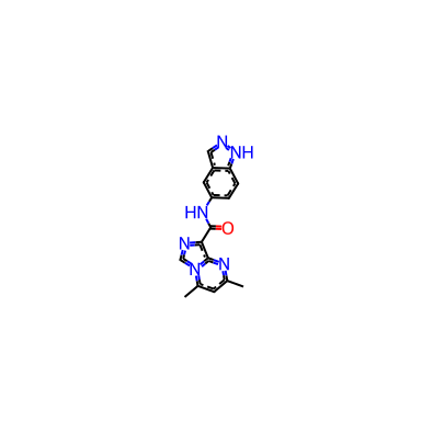 Cc1cc(C)n2cnc(C(=O)Nc3ccc4[nH]ncc4c3)c2n1